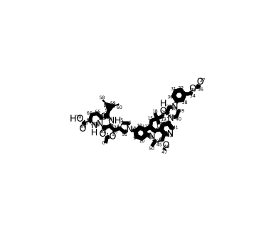 CCO[C@H]([C@@H]1CCN(c2ccc3c(c2)c(CC(C)(C)CO)c(-c2cc(N4CCN(c5cccc(COC=O)c5)CC4)cnc2[C@H](C)OC)n3CC)C1)[C@H](NC(=O)C1[C@@H](C)[C@H]1C)C(=O)N1CCC[C@@H](C(=O)O)N1